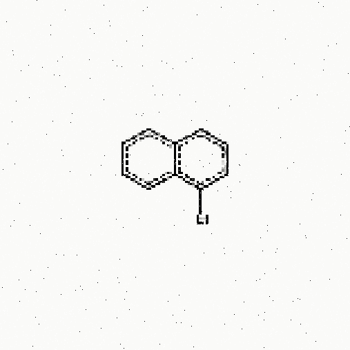 [CH2]Cc1cc[c]c2ccccc12